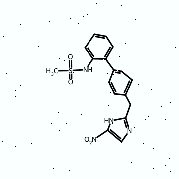 CS(=O)(=O)Nc1ccccc1-c1ccc(Cc2ncc([N+](=O)[O-])[nH]2)cc1